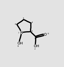 O=C(O)C1CCCN1O